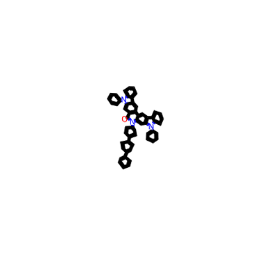 O=c1c2cc3c(cc2c2cc4c5ccccc5n(-c5ccccc5)c4cc2n1-c1ccc(-c2ccc(-c4ccccc4)cc2)cc1)c1ccccc1n3-c1ccccc1